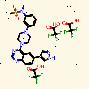 CN(c1cccc(N2CCN(c3ncnc4ccc(-c5cn[nH]c5)cc34)CC2)c1)S(C)(=O)=O.O=C(O)C(F)(F)F.O=C(O)C(F)(F)F.O=C(O)C(F)(F)F